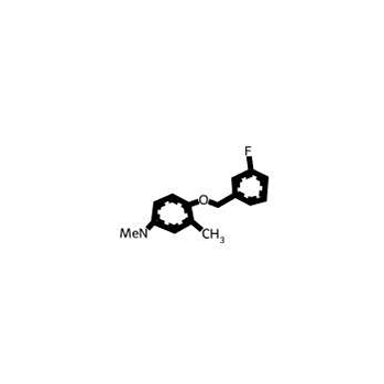 CNc1ccc(OCc2cccc(F)c2)c(C)c1